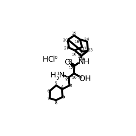 Cl.N[C@H](CC1CCCCC1)C(O)C(=O)NC1C2CC3CC(C2)CC1C3